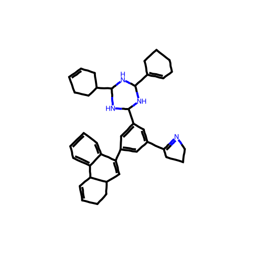 C1=CC2c3ccccc3C(c3cc(C4=NCCC4)cc(C4NC(C5=CCCCC5)NC(C5CC=CCC5)N4)c3)=CC2CC1